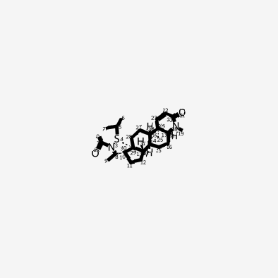 CC(=O)N(SC(C)C)C(C)[C@H]1CC[C@H]2[C@@H]3CC[C@H]4N(C)C(=O)C=C[C@]4(C)[C@H]3CC[C@]12C